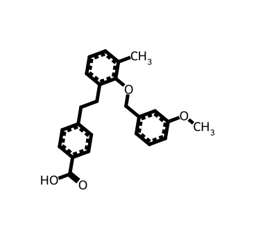 COc1cccc(COc2c(C)cccc2CCc2ccc(C(=O)O)cc2)c1